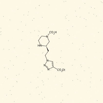 CCOC(=O)c1cn(CC[C@@H]2CN(C(=O)O)CCN2)nn1